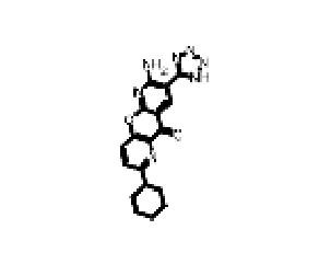 Nc1nc2oc3ccc(C4CCCCC4)nc3c(=O)c2cc1-c1nnn[nH]1